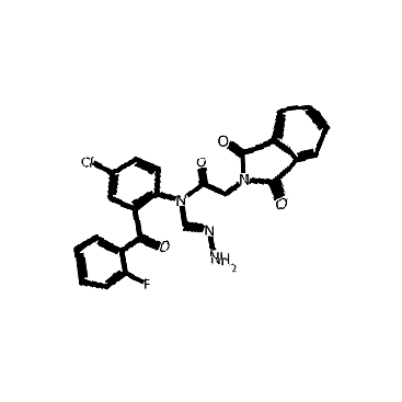 NN=CN(C(=O)CN1C(=O)c2ccccc2C1=O)c1ccc(Cl)cc1C(=O)c1ccccc1F